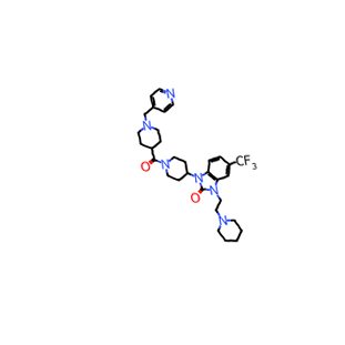 O=C(C1CCN(Cc2ccncc2)CC1)N1CCC(n2c(=O)n(CCN3CCCCC3)c3cc(C(F)(F)F)ccc32)CC1